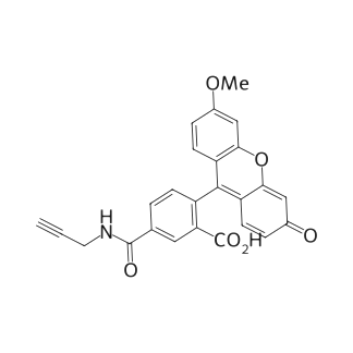 C#CCNC(=O)c1ccc(-c2c3ccc(=O)cc-3oc3cc(OC)ccc23)c(C(=O)O)c1